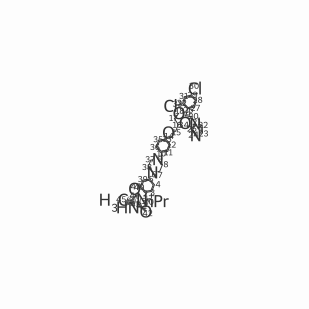 CCC[N@@+]1(c2ccc(N3CCN(c4ccc(OCC5COC(Cn6ccnc6)(c6ccc(Cl)cc6Cl)O5)cc4)CC3)cc2)C(=O)N[C@@H](C)C1=O